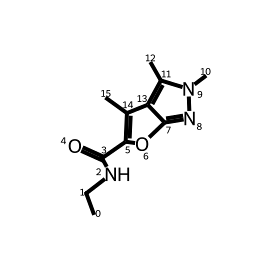 CCNC(=O)c1oc2nn(C)c(C)c2c1C